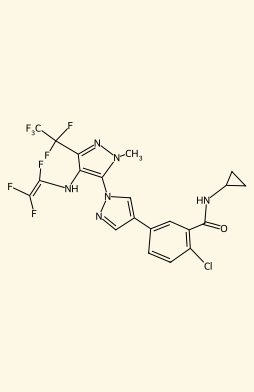 Cn1nc(C(F)(F)C(F)(F)F)c(NC(F)=C(F)F)c1-n1cc(-c2ccc(Cl)c(C(=O)NC3CC3)c2)cn1